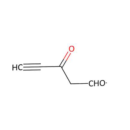 C#CC(=O)C[C]=O